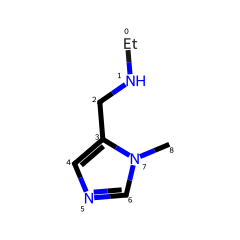 CCNCc1cncn1C